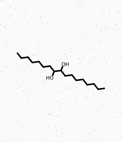 CCCCCCCCC(O)C(O)CCCCCCC